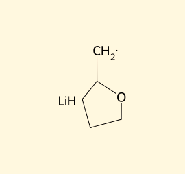 [CH2]C1CCCO1.[LiH]